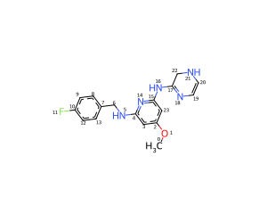 COc1cc(NCc2ccc(F)cc2)nc(NC2=NC=CNC2)c1